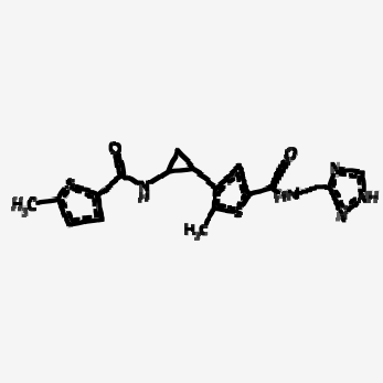 Cc1ccc(C(=O)NC2CC2c2cc(C(=O)Nc3nc[nH]n3)sc2C)s1